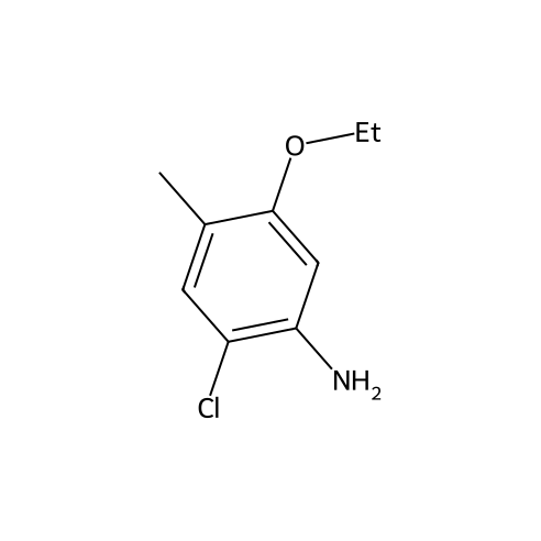 CCOc1cc(N)c(Cl)cc1C